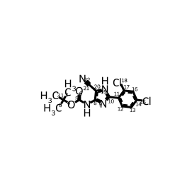 CC(C)(C)OC(=O)Nc1nc(-c2ccc(Cl)cc2Cl)[nH]c1C#N